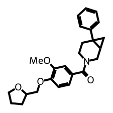 COc1cc(C(=O)N2CCC3(c4ccccc4)CC3C2)ccc1OCC1CCCO1